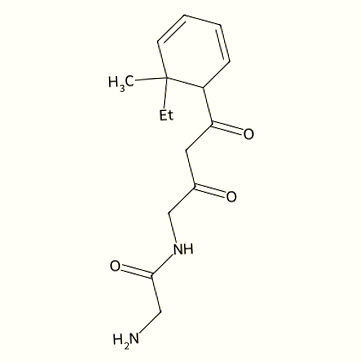 CCC1(C)C=CC=CC1C(=O)CC(=O)CNC(=O)CN